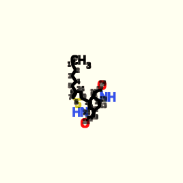 CCCCCCc1csc(-c2c3c(cc4c2=CC(=O)N4)=CC(=O)N3)c1